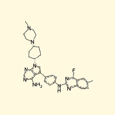 Cc1ccc2nc(Nc3ccc(-c4cn([C@H]5CC[C@@H](N6CCN(C)CC6)CC5)c5ncnc(N)c45)cc3)nc(F)c2c1